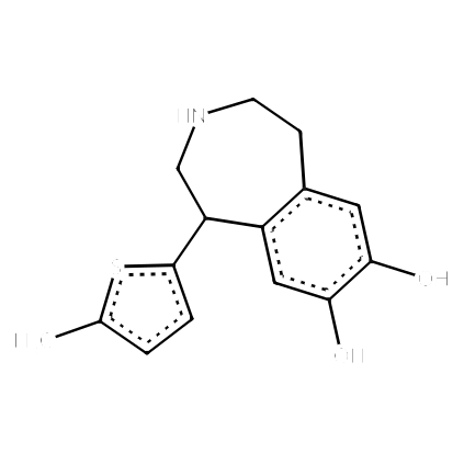 Cc1ccc(C2CNCCc3cc(O)c(O)cc32)s1